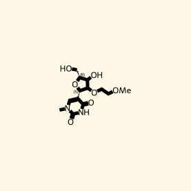 COCCOC1C(O)[C@@H](CO)O[C@H]1c1cn(C)c(=O)[nH]c1=O